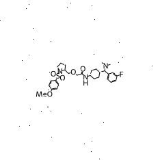 COc1ccc(S(=O)(=O)N2CCCC2COCC(=O)NC2CCC(C(c3cccc(F)c3)N(C)C)CC2)cc1